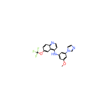 COc1cc(Nc2ccnc3ccc(OC(F)(F)F)cc23)cc(-n2ccnc2)c1